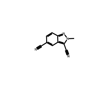 Cn1nc2ccc(C#N)cc2c1C#N